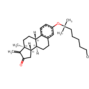 C=C1C(=O)C[C@H]2[C@@H]3CCc4cc(O[Si](C)(C)CCCCCC)ccc4[C@H]3CC[C@]12C